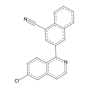 N#Cc1cc(-c2nccc3cc(Cl)ccc23)cc2ccccc12